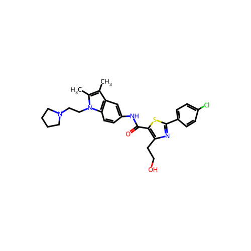 Cc1c(C)n(CCN2CCCC2)c2ccc(NC(=O)c3sc(-c4ccc(Cl)cc4)nc3CCO)cc12